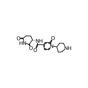 O=C1CC[C@H](NC(=O)c2ccn(C3CCNCC3)c(=O)c2)C(=O)N1